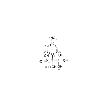 O=[N+]([O-])c1ccc(C(O)(P(=O)(O)O)P(=O)(O)O)cc1